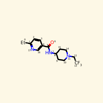 CCc1ccc(C(=O)NC2CCN(CC(F)(F)F)CC2)cn1